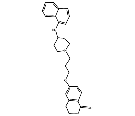 O=C1CCCc2cc(OCCCN3CCC(Nc4cccc5ccccc45)CC3)ccc21